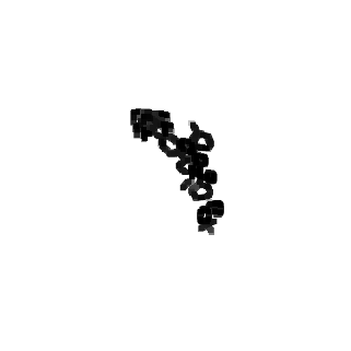 CC[C@]1(C(=O)N2CCC(c3ccc(C(F)(C(F)(F)F)C(F)(F)F)cc3)(S(=O)(=O)c3cccc(C)c3)C2)CC[C@H](C(=O)OC(C)(C)C)CC1